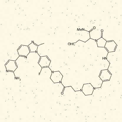 CNC(=O)C(CCC=O)N1Cc2c(NCc3ccc(CN4CCN(CCC(=O)N5CCN(c6ccc(-n7c(C)nc8ccc(-c9ccnc(N)c9)nc87)cc6F)CC5)CC4)cc3)cccc2C1=O